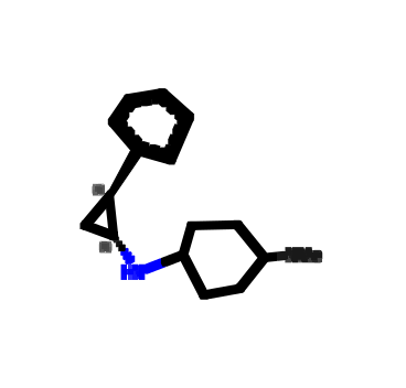 CNC1CCC(N[C@@H]2C[C@H]2c2ccccc2)CC1